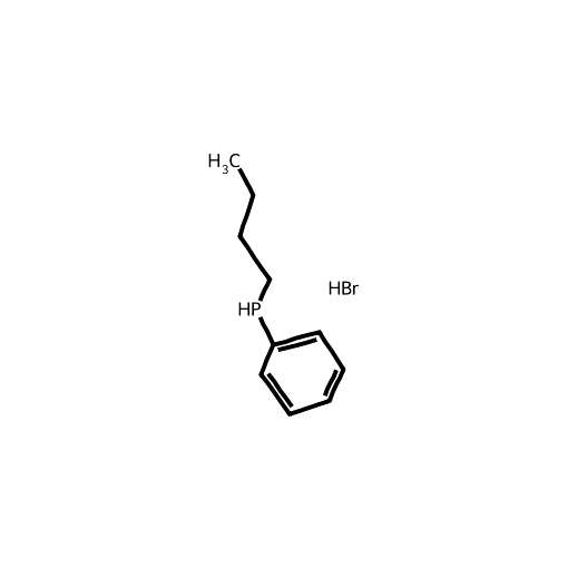 Br.CCCCPc1ccccc1